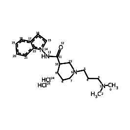 CN(C)CCCN1CCCC(C(=O)Nn2ccc3ccccc32)C1.Cl.Cl